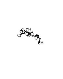 C#CCc1ccc(COC(=O)CC(C)(C)C(Cl)C=C(Cl)Cl)o1